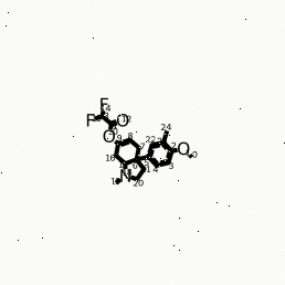 COc1ccc(C23CC=C(OC(=O)C(F)F)CC2N(C)CC3)cc1C